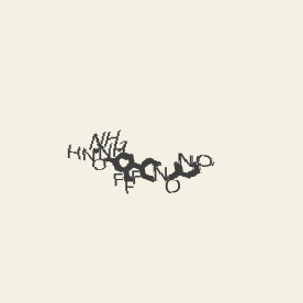 COc1ccc(C(=O)N2CCC(c3ccc(C(=O)NC(=N)N)cc3C(F)(F)F)CC2)cn1